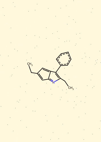 CCC1=CC2=NC(CC)=C(c3ccccc3)C2=C1